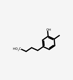 Cc1ccc(CCCC(=O)O)cc1O